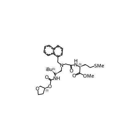 CC[C@H](C)[C@@H](CN(CC(=O)N[C@@H](CCSC)C(=O)OC)Cc1cccc2ccccc12)NC(=O)O[C@H]1CCOC1